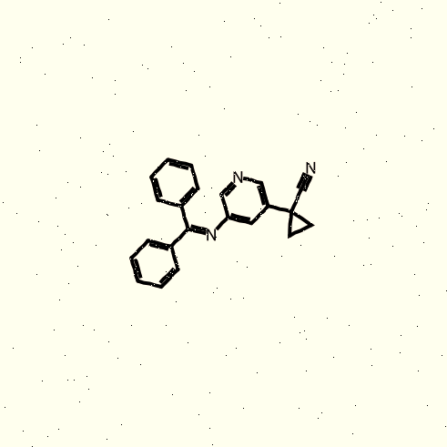 N#CC1(c2cncc(N=C(c3ccccc3)c3ccccc3)c2)CC1